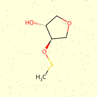 CSO[C@@H]1COC[C@H]1O